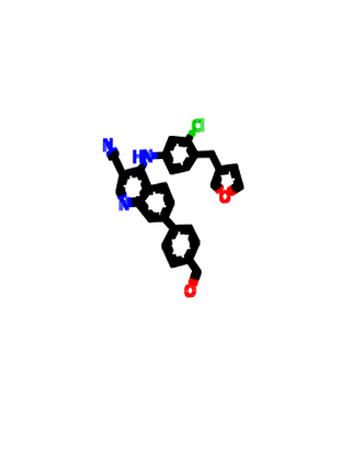 N#Cc1cnc2cc(-c3ccc(C=O)cc3)ccc2c1Nc1ccc(Cc2ccoc2)c(Cl)c1